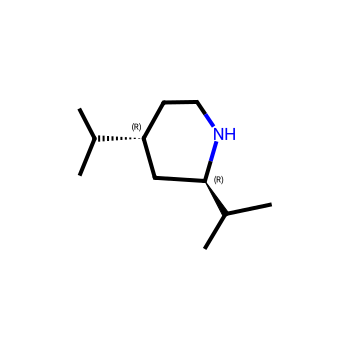 CC(C)[C@@H]1CCN[C@@H](C(C)C)C1